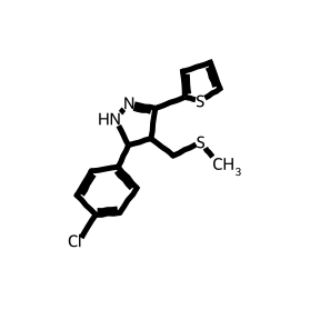 CSCC1C(c2cccs2)=NNC1c1ccc(Cl)cc1